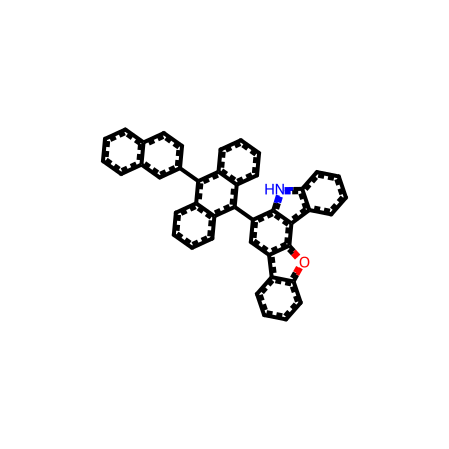 c1ccc2cc(-c3c4ccccc4c(-c4cc5c6ccccc6oc5c5c4[nH]c4ccccc45)c4ccccc34)ccc2c1